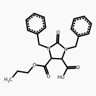 CCCOC(=O)C1C(C(=O)O)N(Cc2ccccc2)C(=O)N1Cc1ccccc1